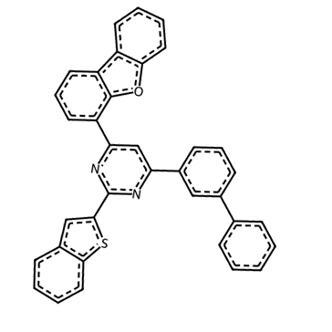 c1ccc(-c2cccc(-c3cc(-c4cccc5c4oc4ccccc45)nc(-c4cc5ccccc5s4)n3)c2)cc1